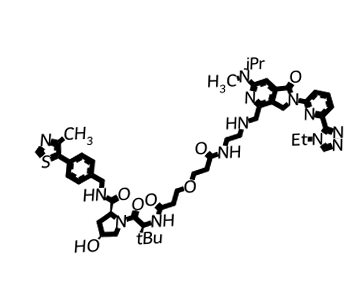 CCn1cnnc1-c1cccc(N2Cc3c(cc(N(C)C(C)C)nc3CNCCNC(=O)CCOCCC(=O)N[C@H](C(=O)N3C[C@H](O)C[C@H]3C(=O)NCc3ccc(-c4scnc4C)cc3)C(C)(C)C)C2=O)n1